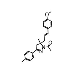 COc1ccc(C=CCC2(C)CC(c3ccc(C)cc3)=NN2C(C)=O)cc1